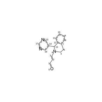 O=CC=CN1CCc2ccccc2C1c1cncnc1